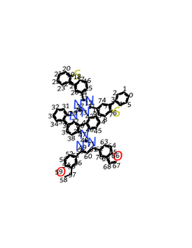 c1ccc2c(c1)sc1ccc(-c3nc(-c4ccc5sc6ccccc6c5c4)nc(-n4c5ccccc5c5ccc6c(c7ccccc7n6-c6nc(-c7ccc8c(c7)CCO8)cc(-c7ccc8occc8c7)n6)c54)n3)cc12